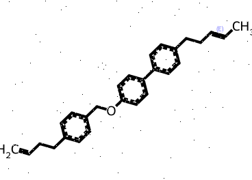 C=CCCc1ccc(COc2ccc(-c3ccc(CC/C=C/C)cc3)cc2)cc1